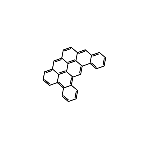 c1ccc2c(c1)cc1ccc3cc4cccc5c6ccccc6c6cc2c1c3c6c45